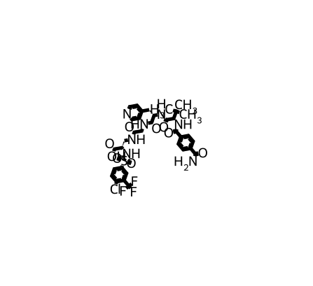 CC(C)(C)[C@H](NC(=O)c1ccc(C(N)=O)cc1)C(=O)N[C@@H](Cc1ccncc1)C(=O)NCC(=O)NC[C@H](NS(=O)(=O)c1ccc(Cl)c(C(F)(F)F)c1)C(=O)O